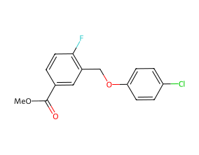 COC(=O)c1ccc(F)c(COc2ccc(Cl)cc2)c1